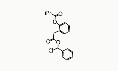 CC(C)C(=O)Oc1ccccc1CC(=O)OC(Cl)c1ccccc1